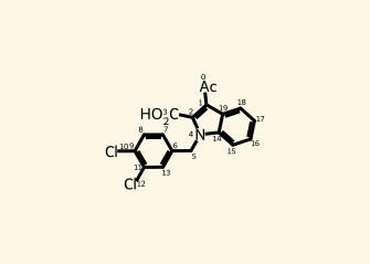 CC(=O)c1c(C(=O)O)n(Cc2ccc(Cl)c(Cl)c2)c2ccccc12